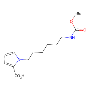 CC(C)(C)OC(=O)NCCCCCCn1cccc1C(=O)O